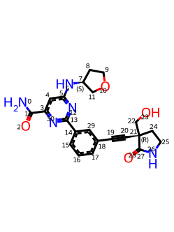 NC(=O)c1cc(N[C@H]2CCOC2)nc(-c2cccc(C#C[C@@]3(CO)CCNC3=O)c2)n1